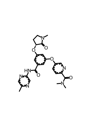 Cc1cnc(NC(=O)c2cc(Oc3ccc(C(=O)N(C)C)nc3)cc(O[C@H]3CCN(C)C3=O)c2)cn1